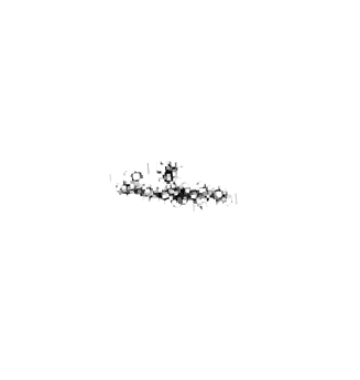 CC(C)c1ccccc1[C@@H]1COCCN1C1CC2(CCN(c3ccc(C(=O)NS(=O)(=O)c4cc5c(c([N+](=O)[O-])c4)S[C@@H](C4CCC(C)(O)CC4)CO5)c(Oc4cnc5[nH]cc(F)c5c4)c3)CC2)C1